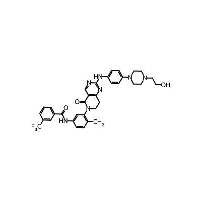 Cc1ccc(NC(=O)c2cccc(C(F)(F)F)c2)cc1N1CCc2nc(Nc3ccc(N4CCN(CCO)CC4)cc3)ncc2C1=O